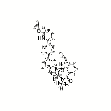 [2H]C([2H])([2H])N1C(=O)c2cccc(C#CC)c2[C@H]2C[C@@H]1c1nc3ccc(-c4cnc(C(CC)NC(=O)OC(C)(C)C)nc4)cc3n12